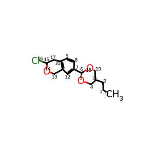 CCCC1COC(c2ccc3c(c2)COC(Cl)C3)OC1